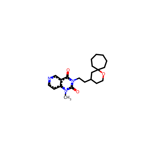 Cn1c(=O)n(CCC2CCOC3(CCCCCC3)C2)c(=O)c2cnccc21